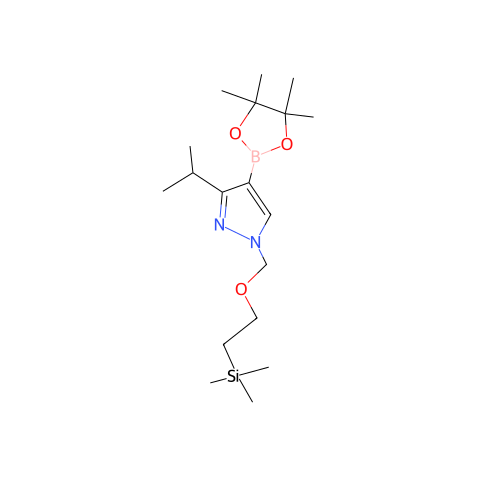 CC(C)c1nn(COCC[Si](C)(C)C)cc1B1OC(C)(C)C(C)(C)O1